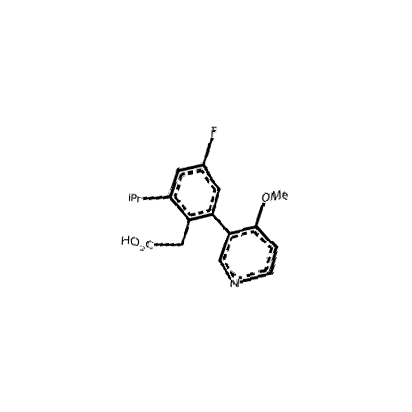 COc1ccncc1-c1cc(F)cc(C(C)C)c1CC(=O)O